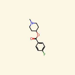 CN1CCC(OC(=O)c2ccc(F)cc2)CC1